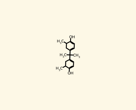 CC1CC(C(C)(C)C2=CC=C(O)C(C)C2)=CC=C1O